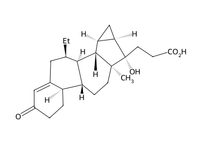 CC[C@@H]1CC2=CC(=O)CC[C@@H]2[C@H]2CC[C@@]3(C)[C@@H]([C@H]4C[C@H]4[C@@]3(O)CCC(=O)O)[C@H]12